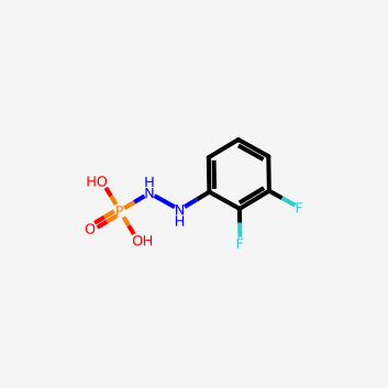 O=P(O)(O)NNc1cccc(F)c1F